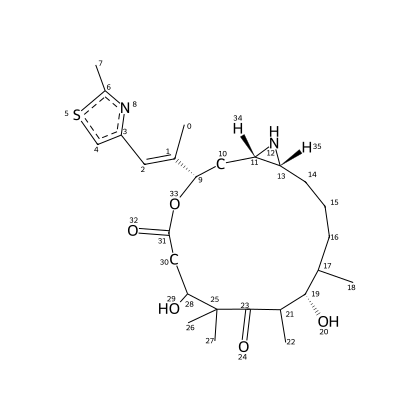 C/C(=C\c1csc(C)n1)[C@@H]1C[C@@H]2N[C@@H]2CCCC(C)[C@H](O)C(C)C(=O)C(C)(C)C(O)CC(=O)O1